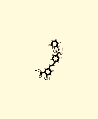 O=C(O)c1cc(C=Cc2ccc(S(=O)(=O)Nc3ccccn3)cc2)ccc1O